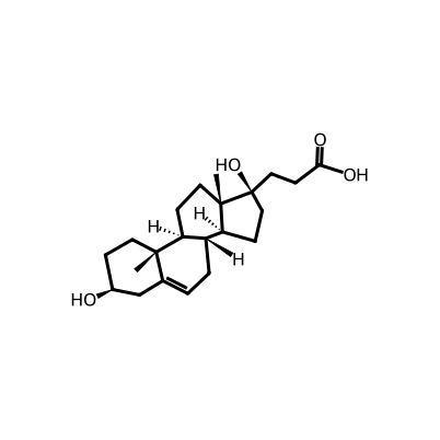 C[C@]12CC[C@H](O)CC1=CC[C@@H]1[C@@H]2CC[C@@]2(C)[C@H]1CC[C@@]2(O)CCC(=O)O